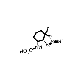 [N-]=[N+]=N[C@@H]1[C@H](NC(=O)O)CCCC1(F)F